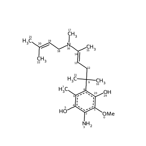 COc1c(N)c(O)c(C)c(C(C)(C)C/C=C(\C)N(C)CC=C(C)C)c1O